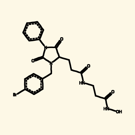 O=C(CCNC(=O)CCC1C(=O)N(c2ccccc2)C(=O)N1Cc1ccc(Br)cc1)NO